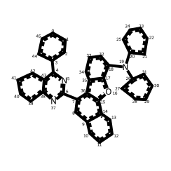 c1ccc(-c2nc(-c3cc4ccccc4c4oc5c(N(c6ccccc6)c6ccccc6)cccc5c34)nc3ccccc23)cc1